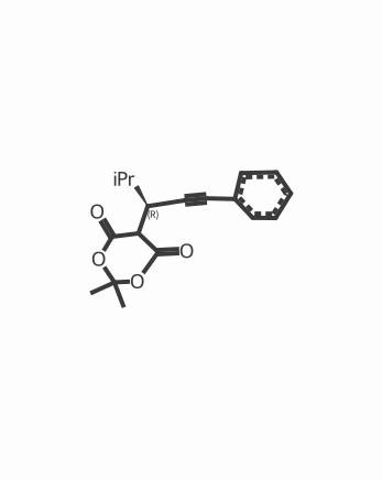 CC(C)[C@@H](C#Cc1ccccc1)C1C(=O)OC(C)(C)OC1=O